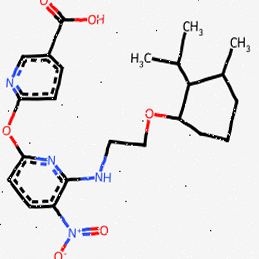 CC(C)C1C(C)CCCC1OCCNc1nc(Oc2ccc(C(=O)O)cn2)ccc1[N+](=O)[O-]